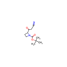 CC(C)(C)OC(=O)N1CCC1C(=O)CC#N